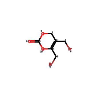 O=C1OCC(CBr)=C(CBr)O1